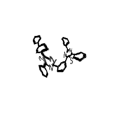 c1ccc(-c2ccc(-c3nc(-c4ccccc4)nc(-c4cccc(-c5nc(-c6ccccc6)nc6c5sc5ccccc56)c4)n3)cc2)cc1